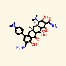 CN(C)c1ccc(-c2cc(CN)c(O)c3c2C[C@H]2C[C@H]4[C@@H](N(C)C)C(O)C(C(N)=O)C(=O)[C@@]4(O)C(O)=C2C3=O)cc1